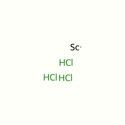 Cl.Cl.Cl.[Sc]